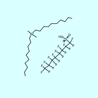 CCCCCCCCCC[N+](C)(C)CCCCCCCCCC.O=S(=O)(O)C(F)(F)C(F)(F)C(F)(F)C(F)(F)C(F)(F)C(F)(F)C(F)(F)C(F)(F)F